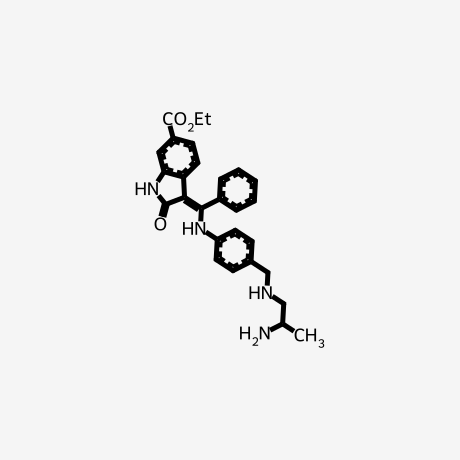 CCOC(=O)c1ccc2c(c1)NC(=O)/C2=C(\Nc1ccc(CNCC(C)N)cc1)c1ccccc1